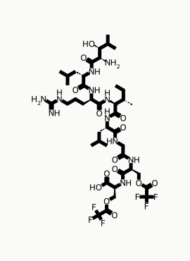 CC[C@H](C)[C@H](NC(=O)[C@@H](CCCNC(=N)N)NC(=O)[C@H](CC(C)C)NC(=O)[C@@H](N)[C@H](O)C(C)C)C(=O)N[C@@H](CC(C)C)C(=O)NCC(=O)N[C@@H](COC(=O)C(F)(F)F)C(=O)N[C@@H](COC(=O)C(F)(F)F)C(=O)O